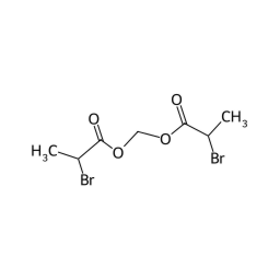 CC(Br)C(=O)OCOC(=O)C(C)Br